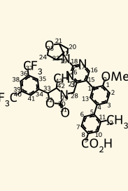 COc1ccc(-c2ccc(C(=O)O)cc2C)cc1-c1cnc(N2CC3CC2CO3)nc1CN1C(=O)OC(c2cc(C(F)(F)F)cc(C(F)(F)F)c2)C1C